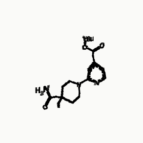 CC(C)(C)OC(=O)c1ccnc(N2CCC(C)(C(N)=O)CC2)c1